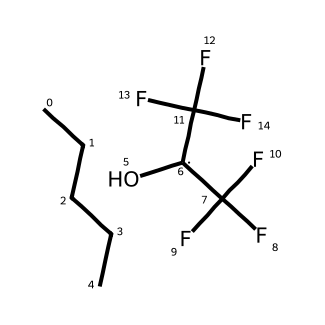 CCCCC.O[C](C(F)(F)F)C(F)(F)F